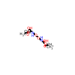 C=C(C)C(=O)OCC(O)CNCCOCCOCCNCC(CCO)COC(=O)C(=C)C